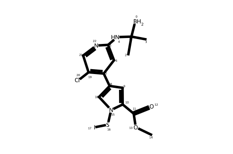 BC(C)(C)Nc1cc(-c2cc(C(=O)OC)n(SI)c2)c(Cl)cn1